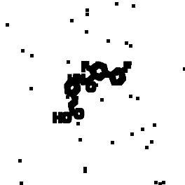 O=C(O)C=Cc1cccc(NC(=O)c2cc(-c3cccc(F)c3)ccc2F)c1